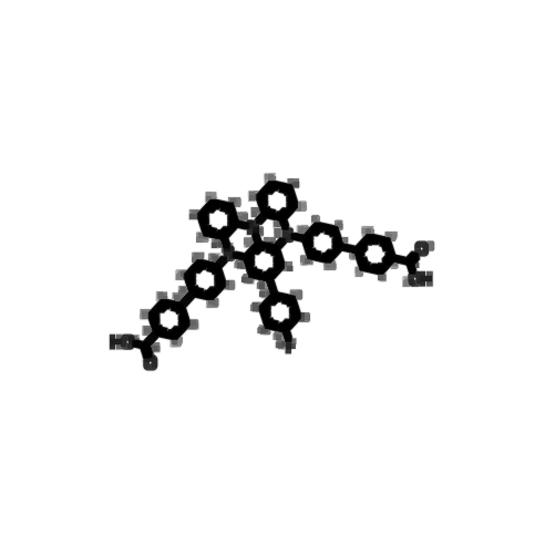 O=C(O)c1ccc(-c2ccc(B3c4ccccc4N4c5ccccc5B(c5ccc(-c6ccc(C(=O)O)cc6)cc5)c5cc(-c6ccc(F)cc6)cc3c54)cc2)cc1